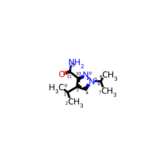 CC(C)c1cn(C(C)C)nc1C(N)=O